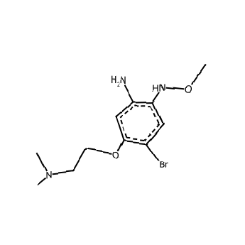 CONc1cc(Br)c(OCCN(C)C)cc1N